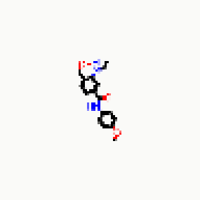 CCNc1cc(C(=O)Nc2ccc(OC)cc2)ccc1CO